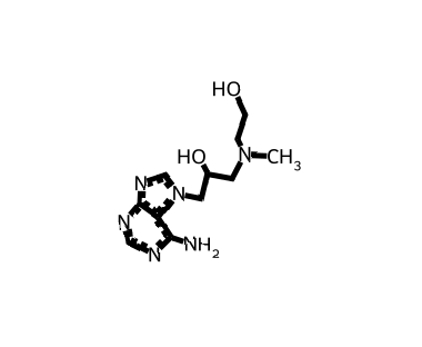 CN(CCO)CC(O)Cn1cnc2ncnc(N)c21